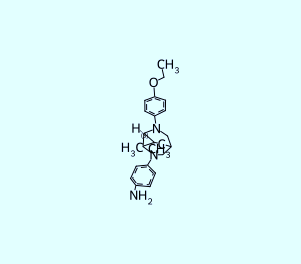 CCOc1ccc(N2CC3CN(c4ccc(N)cc4)C[C@@H]2C(C)(C)C3)cc1